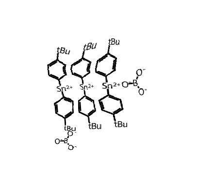 CC(C)(C)c1cc[c]([Sn+2][c]2ccc(C(C)(C)C)cc2)cc1.CC(C)(C)c1cc[c]([Sn+2][c]2ccc(C(C)(C)C)cc2)cc1.CC(C)(C)c1cc[c]([Sn+2][c]2ccc(C(C)(C)C)cc2)cc1.[O-]B([O-])[O-].[O-]B([O-])[O-]